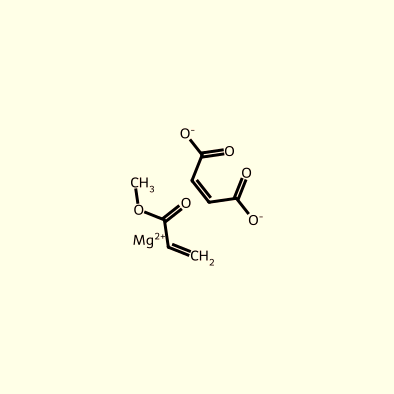 C=CC(=O)OC.O=C([O-])/C=C\C(=O)[O-].[Mg+2]